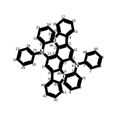 c1ccc(N(c2ccccc2)c2cc3c4ccccc4oc3c3c(N(c4ccccc4)c4ccccc4)cc4c5ccccc5oc4c23)cc1